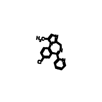 Cc1cnc2n1-c1ccc(Cl)cc1C(c1ccccn1)=NC2